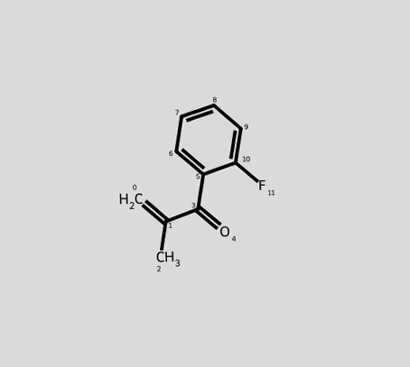 C=C(C)C(=O)c1ccccc1F